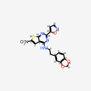 O=[N+]([O-])c1cc2c(NCCc3ccc4c(c3)OCO4)nc(-c3ccno3)nc2s1